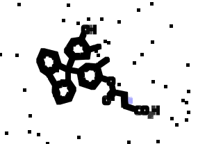 Cc1cc(C2(c3ccc(OC(=O)/C=C/C(=O)O)c(C)c3)c3ccccc3-c3ccccc32)ccc1O